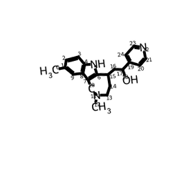 Cc1ccc2[nH]c3c(c2c1)CN(C)CCC3CC(O)c1ccncc1